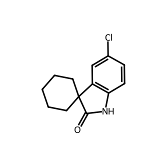 O=C1Nc2ccc(Cl)cc2C12CCCCC2